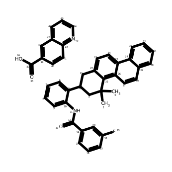 CC1(C)CC(c2ccccc2NC(=O)c2cccc(F)c2)Cc2ccc3c(ccc4ccccc43)c21.O=C(O)c1ccc2ncccc2c1